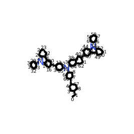 C=Cc1ccc(-c2ccc(N(c3ccc(-c4ccc5c(c4)c4ccccc4n5-c4ccccc4)cc3)c3ccc4cc(-c5ccc6c(c5)c5ccccc5n6-c5ccccc5)ccc4c3)cc2)cc1